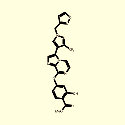 COC(=O)c1ccc(Oc2nccn3c(-c4cn(Cc5ccon5)nc4C(F)(F)F)cnc23)cc1O